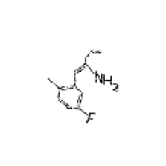 C=C/C(N)=C/c1cc(F)ccc1C